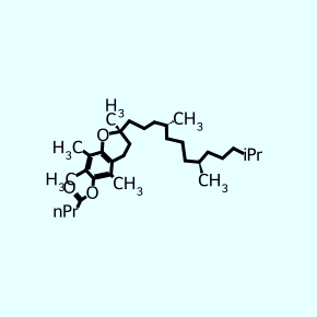 CCCC(=O)Oc1c(C)c(C)c2c(c1C)CC[C@@](C)(CCC[C@H](C)CCC[C@H](C)CCCC(C)C)O2